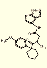 COc1ccc(C2(C(=O)N(C)CC(=O)Nc3cccc4[nH]ncc34)CCCCC2)cc1